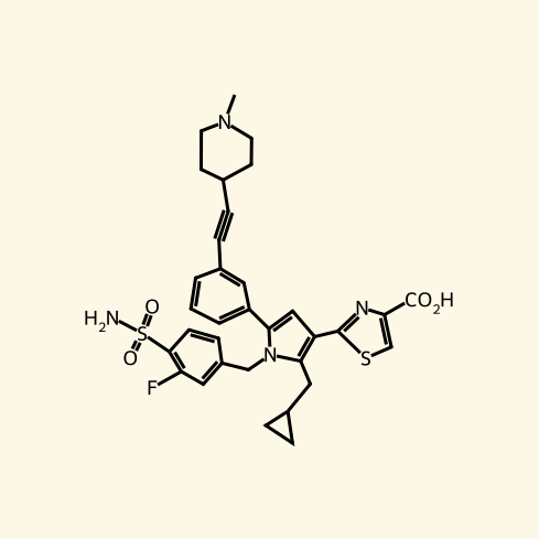 CN1CCC(C#Cc2cccc(-c3cc(-c4nc(C(=O)O)cs4)c(CC4CC4)n3Cc3ccc(S(N)(=O)=O)c(F)c3)c2)CC1